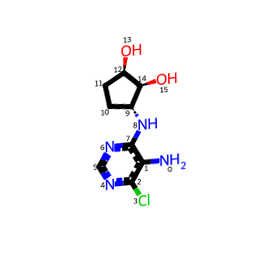 Nc1c(Cl)ncnc1N[C@@H]1CC[C@@H](O)[C@H]1O